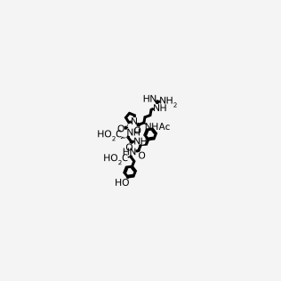 CC(=O)N[C@@H](CCCNC(=N)N)C(=O)N1CCC[C@H]1C(=O)N[C@@H](CC(=O)O)C(=O)N[C@@H](Cc1ccccc1)C(=O)N[C@@H](Cc1ccc(O)cc1)C(=O)O